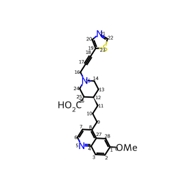 COc1ccc2nccc(CCC[C@@H]3CCN(CC#Cc4cncs4)C[C@@H]3C(=O)O)c2c1